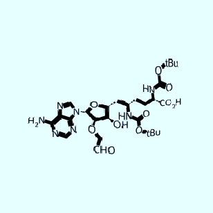 CC(C)(C)OC(=O)N[C@@H](CC[C@H](NC(=O)OC(C)(C)C)C(=O)O)C[C@H]1O[C@@H](n2cnc3c(N)ncnc32)[C@H](OCC=O)[C@@H]1O